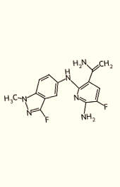 C=C(N)c1cc(F)c(N)nc1Nc1ccc2c(c1)c(F)nn2C